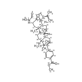 C=C(C)[C@@H]1CC[C@]2(C(=O)NO)CC[C@]3(C)[C@H](CC[C@@H]4[C@@]5(C)CC=C(c6ccc(C(=O)OC)cc6)C(C)(C)[C@@H]5CC[C@]43C)[C@@H]12